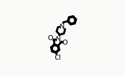 O=C1c2ccc(Cl)cc2C(=O)N1C1CCN(Cc2ccccc2)CC1